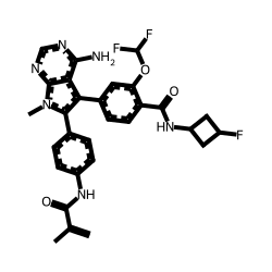 C=C(C)C(=O)Nc1ccc(-c2c(-c3ccc(C(=O)NC4CC(F)C4)c(OC(F)F)c3)c3c(N)ncnc3n2C)cc1